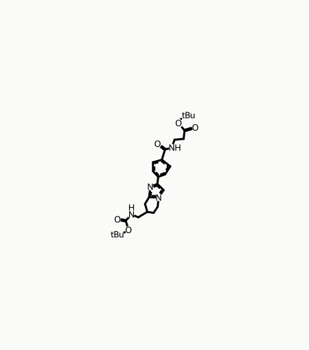 CC(C)(C)OC(=O)CCNC(=O)c1ccc(-c2cn3c(n2)CC(CNC(=O)OC(C)(C)C)CC3)cc1